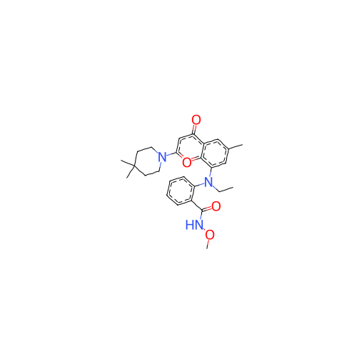 CCN(c1ccccc1C(=O)NOC)c1cc(C)cc2c(=O)cc(N3CCC(C)(C)CC3)oc12